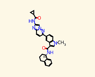 Cn1cc(C(=O)N[C@H]2CCCc3ccccc32)c2cc(-c3ccc4nc(NC(=O)C5CC5)cn4n3)ccc21